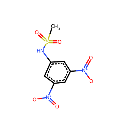 CS(=O)(=O)Nc1cc([N+](=O)[O-])cc([N+](=O)[O-])c1